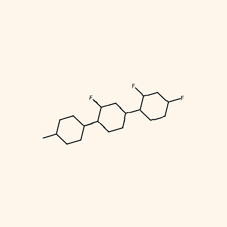 CC1CCC(C2CCC(C3CCC(F)CC3F)CC2F)CC1